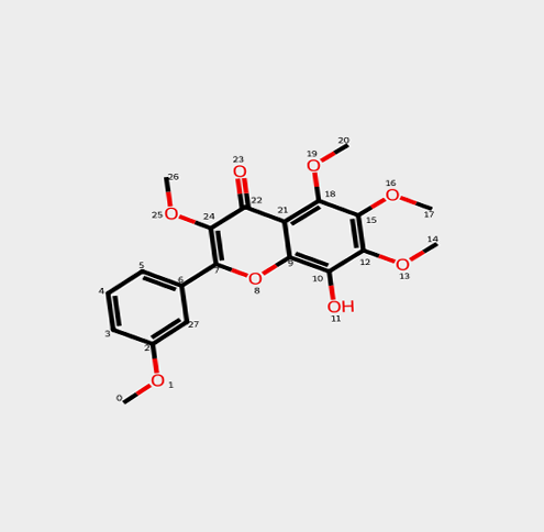 COc1cccc(-c2oc3c(O)c(OC)c(OC)c(OC)c3c(=O)c2OC)c1